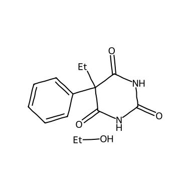 CCC1(c2ccccc2)C(=O)NC(=O)NC1=O.CCO